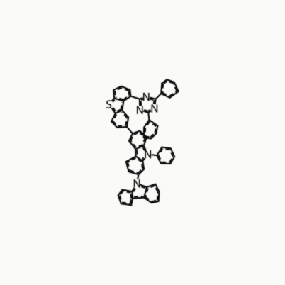 c1ccc(-c2nc(-c3ccccc3)nc(-c3cccc4sc5ccc(-c6ccc7c(c6)c6ccc(-n8c9ccccc9c9ccccc98)cc6n7-c6ccccc6)cc5c34)n2)cc1